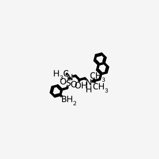 Bc1ccccc1CS(=O)(=O)N(C)CC(O)CNC(C)(C)Cc1ccc2ccccc2c1